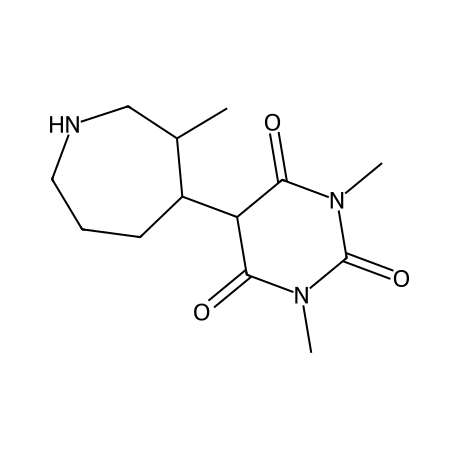 CC1CNCCCC1C1C(=O)N(C)C(=O)N(C)C1=O